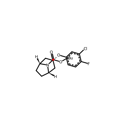 CC(C)(C)OC(=O)N1[C@@H]2CC[C@H]1C[C@@H](Oc1ccc(F)c(Cl)c1)C2